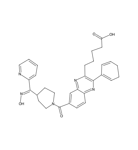 O=C(O)CCCCc1nc2cc(C(=O)N3CCC(/C(=N\O)c4ccccn4)CC3)ccc2nc1C1=CCCC=C1